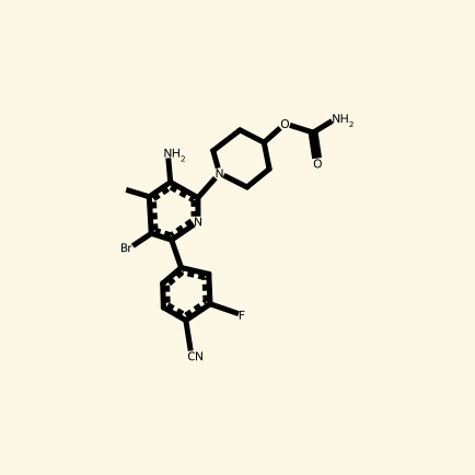 Cc1c(N)c(N2CCC(OC(N)=O)CC2)nc(-c2ccc(C#N)c(F)c2)c1Br